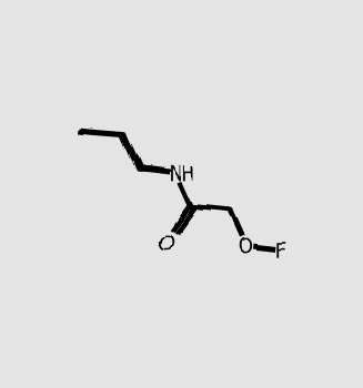 CCCNC(=O)COF